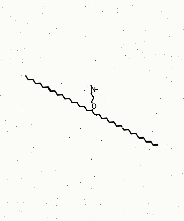 C=CC=CC=CCCCCCCCCCCCCC(CCCCCCCCCCC=CCCCCCC)OCCCN(C)C